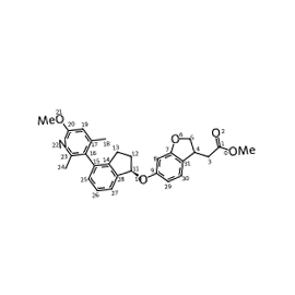 COC(=O)CC1COc2cc(O[C@@H]3CCc4c(-c5c(C)cc(OC)nc5C)cccc43)ccc21